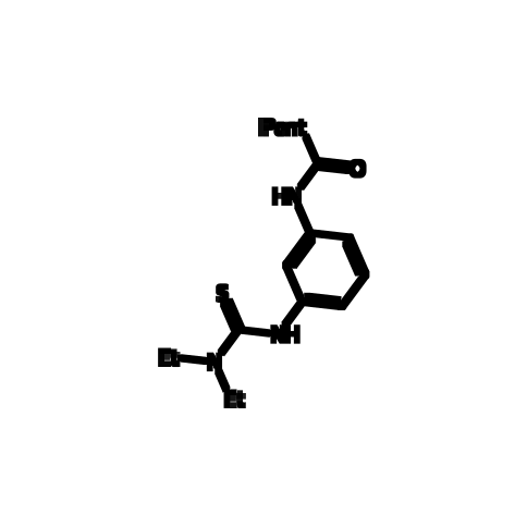 CCCC(C)C(=O)Nc1cccc(NC(=S)N(CC)CC)c1